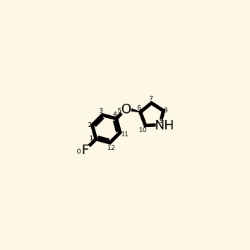 Fc1ccc(O[C@H]2CCNC2)cc1